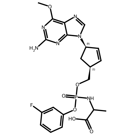 COc1nc(N)nc2c1ncn2[C@H]1C=C[C@@H](COP(=O)(NC(C)C(=O)O)Oc2cccc(F)c2)C1